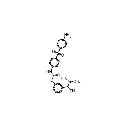 C[C@@H](c1cccc(OC(=O)Nc2ccc(S(=O)(=O)c3ccc(N)cc3)cc2)c1)N(C)C